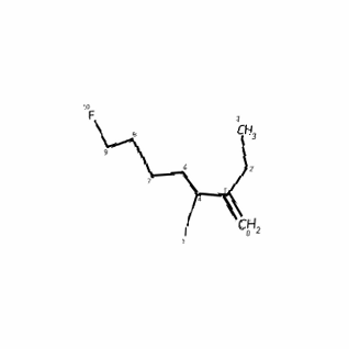 C=C(CC)C(I)CCCCF